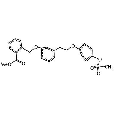 COC(=O)c1ccccc1COc1cccc(CCOc2ccc(OS(C)(=O)=O)cc2)c1